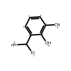 CCCC(CC)c1cccc(C#N)c1O